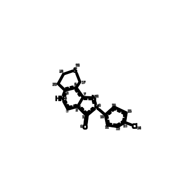 O=c1c2c[nH]c3c(c-2nn1-c1ccc(Cl)cc1)CSCC3